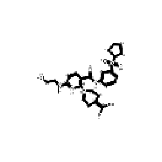 O=C(Nc1cccc(S(=O)(=O)C2CCCC2)c1)c1ccc(NCCO)nc1N1CCC(=C(F)F)CC1